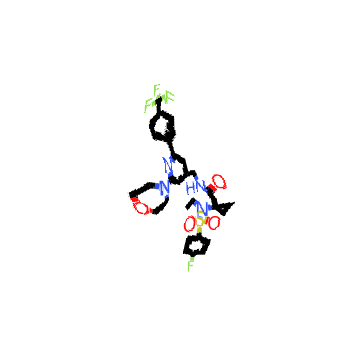 CCN(C1(C(=O)NCc2cc(-c3ccc(C(F)(F)F)cc3)nc(N3CCOCC3)c2)CC1)S(=O)(=O)c1ccc(F)cc1